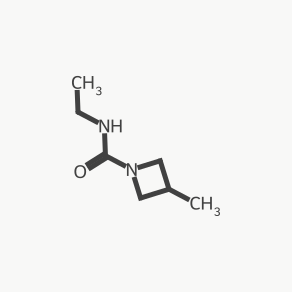 CCNC(=O)N1CC(C)C1